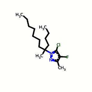 CCCCCCCC(C)(CCCC)n1nc(C)c(F)c1Cl